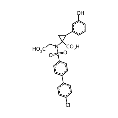 O=C(O)CN(C1(C(=O)O)CC1c1cccc(O)c1)S(=O)(=O)c1ccc(-c2ccc(Cl)cc2)cc1